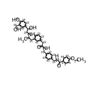 CCOc1ccc(C(=O)NCc2ccc(CNC(=O)Cc3cccc(C[C@@H](C)NC[C@@H](O)c4ccc(O)c(CO)c4)c3)cc2)cc1